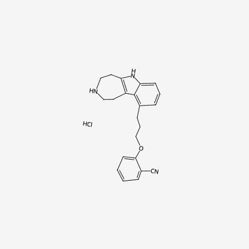 Cl.N#Cc1ccccc1OCCCc1cccc2[nH]c3c(c12)CCNCC3